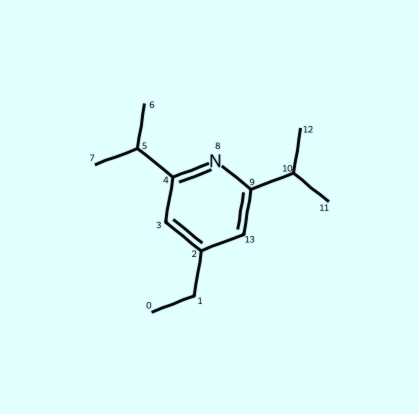 CCc1cc(C(C)C)nc(C(C)C)c1